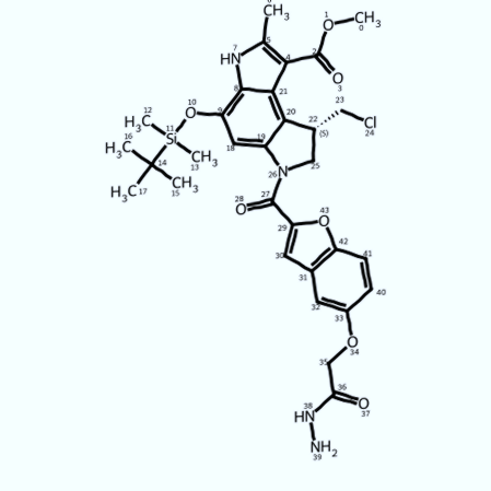 COC(=O)c1c(C)[nH]c2c(O[Si](C)(C)C(C)(C)C)cc3c(c12)[C@H](CCl)CN3C(=O)c1cc2cc(OCC(=O)NN)ccc2o1